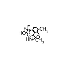 Cc1cccc2c1COC1(C)CNCC21.O=C(O)C(F)(F)F